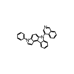 c1ccc(-n2ccc3c4c5ccccc5n(-c5cncc6ccccc56)c4ccc32)cc1